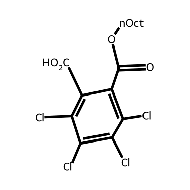 CCCCCCCCOC(=O)c1c(Cl)c(Cl)c(Cl)c(Cl)c1C(=O)O